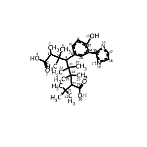 CC(C(=O)O)C(C)(C)C(c1ccc(O)c(-c2ncc[nH]2)c1)C(C)(C)C(C)(C)C(C(=O)O)C(C)(C)C